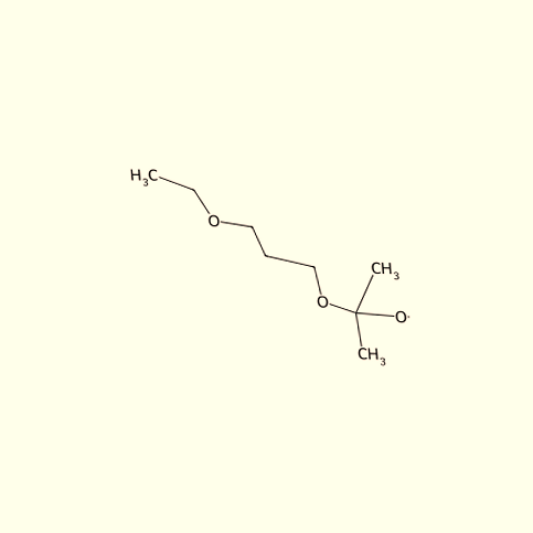 CCOCCCOC(C)(C)[O]